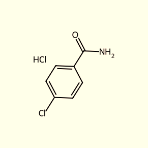 Cl.NC(=O)c1ccc(Cl)cc1